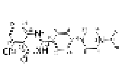 CC(C)N1CCN(c2ccc(-c3nc4cccc(Cl)c4c(=O)[nH]3)cc2)CC1